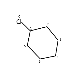 ClC1[CH]CCC[CH]1